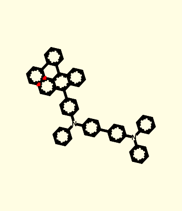 c1ccc(-c2ccccc2-c2c3ccccc3c(-c3ccc(N(c4ccccc4)c4ccc(-c5ccc(N(c6ccccc6)c6ccccc6)cc5)cc4)cc3)c3ccccc23)cc1